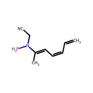 C=C/C=C\C=C(/C)N(P)CC#N